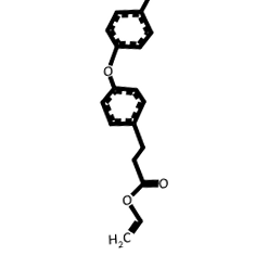 C=COC(=O)CCc1ccc(Oc2ccc(C)cc2)cc1